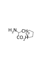 C1=CCCC1.CC(N)C(=O)O